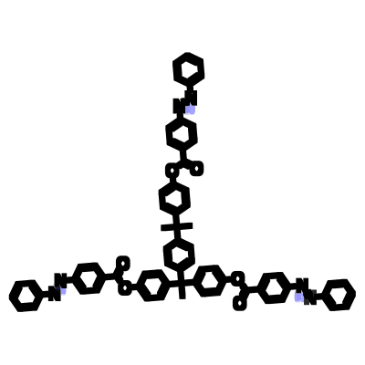 CC(C)(c1ccc(OC(=O)c2ccc(/N=N/c3ccccc3)cc2)cc1)c1ccc(C(C)(c2ccc(OC(=O)c3ccc(/N=N/c4ccccc4)cc3)cc2)c2ccc(OC(=O)c3ccc(/N=N/c4ccccc4)cc3)cc2)cc1